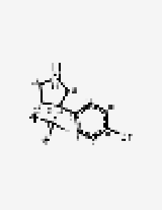 FC(F)(F)[C@]1(c2ccc(Br)cc2)CCNC1